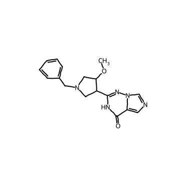 COC1CN(Cc2ccccc2)CC1c1nn2cncc2c(=O)[nH]1